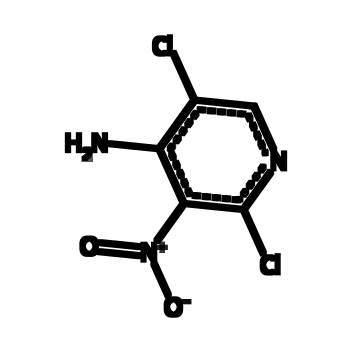 Nc1c(Cl)cnc(Cl)c1[N+](=O)[O-]